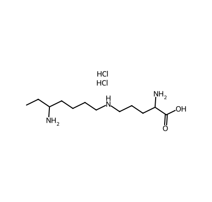 CCC(N)CCCCNCCCC(N)C(=O)O.Cl.Cl